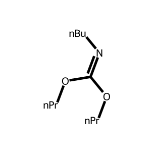 CCCCN=C(OCCC)OCCC